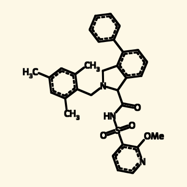 COc1ncccc1S(=O)(=O)NC(=O)C1c2cccc(-c3ccccc3)c2CN1Cc1c(C)cc(C)cc1C